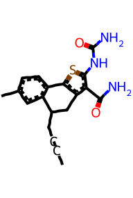 CCCCC1Cc2c(sc(NC(N)=O)c2C(N)=O)-c2ccc(C)cc21